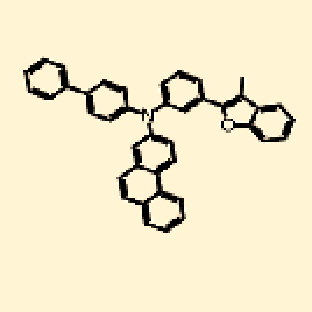 Cc1c(-c2cccc(N(c3ccc(-c4ccccc4)cc3)c3ccc4c(ccc5ccccc54)c3)c2)oc2ccccc12